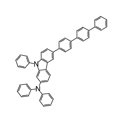 c1ccc(-c2ccc(-c3ccc(-c4ccc5c(c4)c4ccc(N(c6ccccc6)c6ccccc6)cc4n5-c4ccccc4)cc3)cc2)cc1